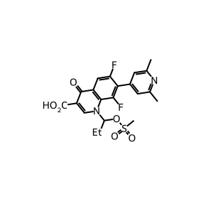 CCC(OS(C)(=O)=O)n1cc(C(=O)O)c(=O)c2cc(F)c(-c3cc(C)nc(C)c3)c(F)c21